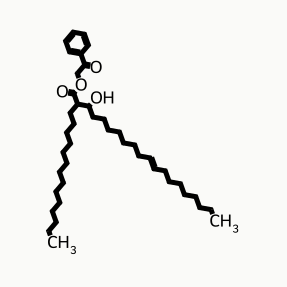 CCCCCCCCC=CCCCCCCCC(O)C(CCCCCCCCCCCCCC)C(=O)OCC(=O)c1ccccc1